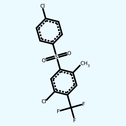 Cc1cc(C(F)(F)F)c(Cl)cc1S(=O)(=O)c1ccc(Cl)cc1